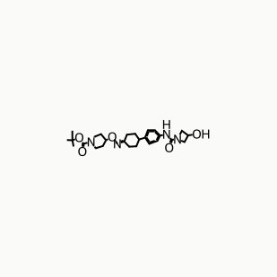 CC(C)(C)OC(=O)N1CCC(ON=C2CCC(c3ccc(NC(=O)N4CC(O)C4)cc3)CC2)CC1